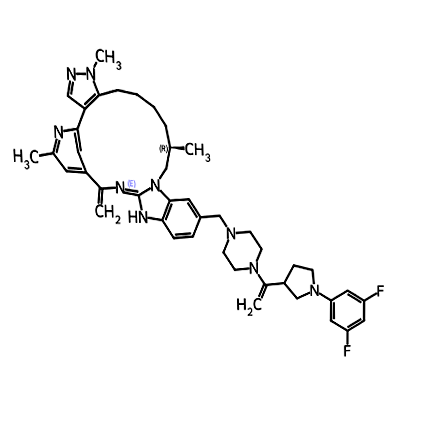 C=C1/N=C2\Nc3ccc(CN4CCN(C(=C)C5CCN(c6cc(F)cc(F)c6)C5)CC4)cc3N2C[C@H](C)CCCCc2c(cnn2C)-c2cc1cc(C)n2